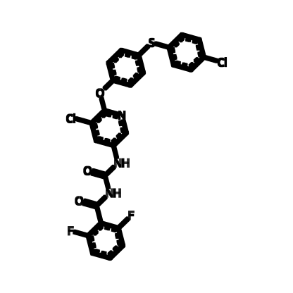 O=C(NC(=O)c1c(F)cccc1F)Nc1cnc(Oc2ccc(Sc3ccc(Cl)cc3)cc2)c(Cl)c1